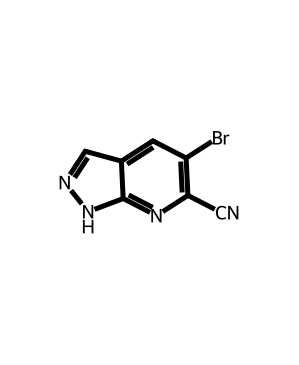 N#Cc1nc2[nH]ncc2cc1Br